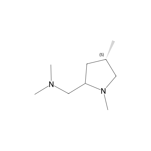 C[C@H]1CC(CN(C)C)N(C)C1